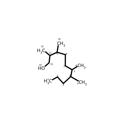 CCCC(C)C(C)CCC(C)C(C)CO